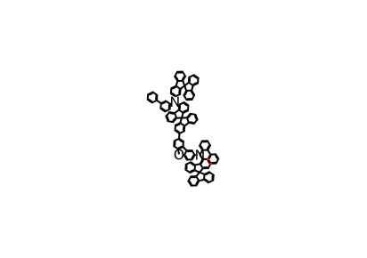 c1ccc(-c2cccc(N(c3ccc4c(c3)C3(c5ccccc5-c5ccccc53)c3ccccc3-4)c3cccc4c3-c3ccccc3C43c4ccccc4-c4cc(-c5ccc6oc7ccc(N(c8ccccc8-c8ccccc8)c8cccc9c8-c8ccccc8C98c9ccccc9-c9ccccc98)cc7c6c5)ccc43)c2)cc1